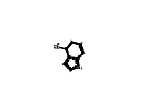 CCC1CC=Cc2sccc21